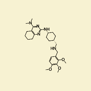 COc1ccc(CNC[C@H]2CC[C@@H](Nc3nc4c(c(N(C)C)n3)CCCC4)CC2)c(OC)c1OC